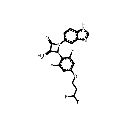 C=C1C(=O)N(c2ccc3[nH]cnc3c2)[C@H]1c1c(F)cc(OCCC(F)F)cc1F